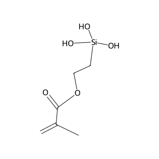 C=C(C)C(=O)OCC[Si](O)(O)O